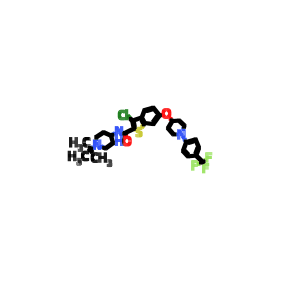 CC(C)(C)N1CCC(NC(=O)c2sc3cc(OC4CCN(c5ccc(C(F)(F)F)cc5)CC4)ccc3c2Cl)CC1